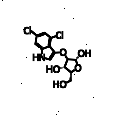 OC[C@@H]1O[C@@H](O)[C@H](Oc2c[nH]c3cc(Cl)cc(Cl)c23)[C@H]1O